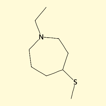 CCN1CCCC(SC)CC1